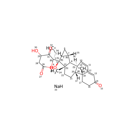 CC[C@]1([C@]2(O)[C@@H]3C[C@@H]3C3[C@H]4C=CC5=CC(=O)CC[C@]5(C)[C@@H]4CC[C@@]32C)OC(=O)CC(O)C1=O.[NaH]